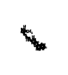 Cc1[nH]cnc1CSCCNc1nc(=O)c(Cc2cccc3ccccc23)n[nH]1